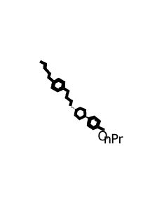 CC=CCCc1ccc(CCCC[C@H]2CC[C@H](c3ccc(COCCC)cc3)CC2)cc1